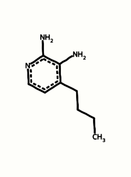 CCCCc1ccnc(N)c1N